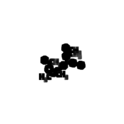 C=C(C1=CC(C(=C/Cc2ccc(N(c3ccc(-c4ccccc4)cc3)c3ccc4c(c3)C(C)(C)c3ccccc3-4)cc2)/C(C)=C\CC)C=CC=C1)c1ccccc1